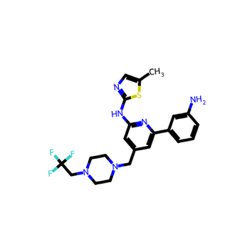 Cc1cnc(Nc2cc(CN3CCN(CC(F)(F)F)CC3)cc(-c3cccc(N)c3)n2)s1